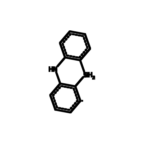 [c]1cccc2c1[SiH2]c1ccccc1N2